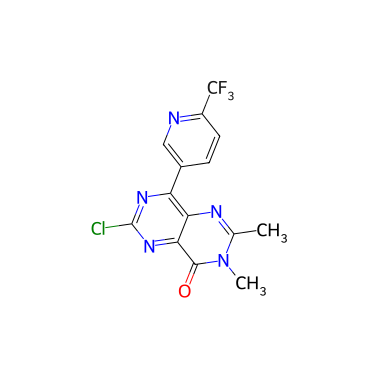 Cc1nc2c(-c3ccc(C(F)(F)F)nc3)nc(Cl)nc2c(=O)n1C